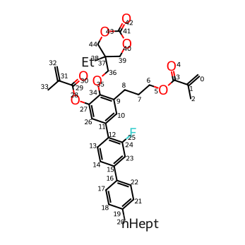 C=C(C)C(=O)OCCCc1cc(-c2ccc(-c3ccc(CCCCCCC)cc3)cc2F)cc(OC(=O)C(=C)C)c1OCC1(CC)COC(=O)OC1